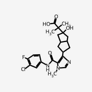 Cn1cnc(C2CC3CC(O)(C(C)(C)C(=O)O)CC3C2)c1C(=O)Nc1ccc(F)c(Cl)c1